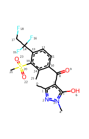 Cc1nn(C)c(O)c1C(=O)c1ccc(C(F)(F)CF)c(S(C)(=O)=O)c1C